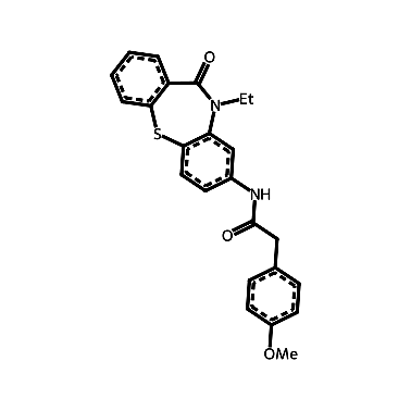 CCN1C(=O)c2ccccc2Sc2ccc(NC(=O)Cc3ccc(OC)cc3)cc21